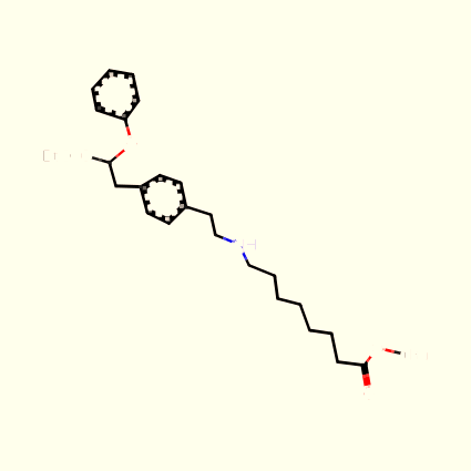 CCOC(=O)C(Cc1ccc(CCNCCCCCCCC(=O)OC(C)(C)C)cc1)Oc1ccccc1